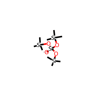 C[Si](C)(C)O[Si]([O])(O[Si](C)(C)C)O[Si](C)(C)C